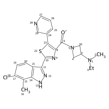 CCN(C)C1CN(C(=O)c2nc(-c3n[nH]c4c(C)c(Cl)ccc34)sc2-c2cccnc2)C1